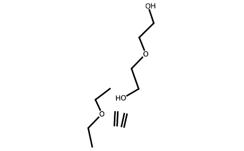 C=C.C=C.CCOCC.OCCOCCO